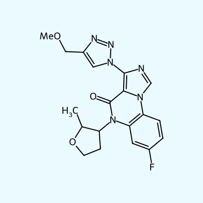 COCc1cn(-c2ncn3c2c(=O)n(C2CCOC2C)c2cc(F)ccc23)nn1